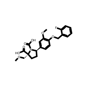 COC[C@@]1(C(=O)O)CC[C@H](c2ccc(OCc3ccccc3F)c(OC)c2)N1C(=O)O